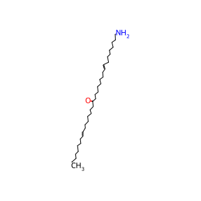 CCCCCCCCC=CCCCCCCCC(=O)CCCCCCCCC=CCCCCCCCCN